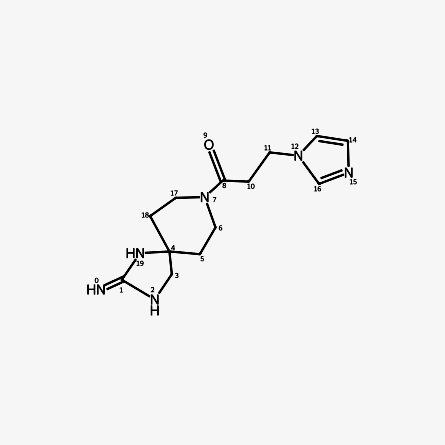 N=C1NCC2(CCN(C(=O)CCn3ccnc3)CC2)N1